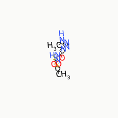 Cc1ccc(S(=O)(=O)c2csc(NC(=O)C3CCN(c4ncnc5c4C(C)CN5)CC3)n2)cc1